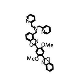 COc1cc(-c2nc3c(CN(Cc4ccccn4)Cc4ccccn4)cccc3o2)c(OC)cc1-c1nc2ccccc2o1